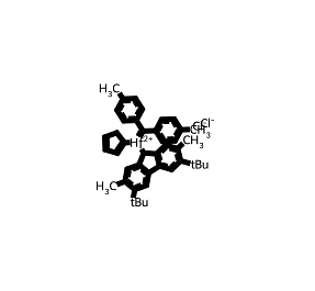 Cc1ccc([C](c2ccc(C)cc2)=[Hf+2]([C]2=CC=CC2)[CH]2c3cc(C)c(C(C)(C)C)cc3-c3cc(C(C)(C)C)c(C)cc32)cc1.[Cl-].[Cl-]